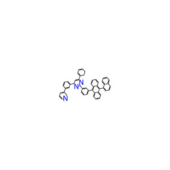 C1=CCCC(c2cc(-c3cccc(-c4cccnc4)c3)nc(-c3cccc(-c4c5ccccc5c(-c5cccc6ccccc56)c5ccccc45)c3)n2)=C1